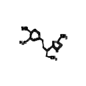 CCC(CCc1ccc(O)c(C)c1)c1cc(C)cs1